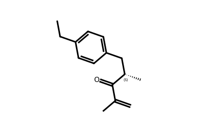 C=C(C)C(=O)[C@@H](C)Cc1ccc(CC)cc1